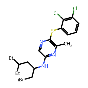 CCC(C)CC(CC(CC)CC)Nc1cnc(Sc2cccc(Cl)c2Cl)c(C)n1